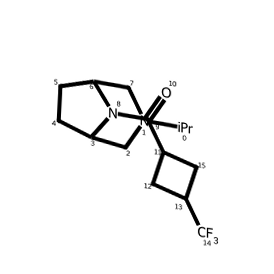 CC(C)N1CC2CCC(C1)N2C(=O)C1CC(C(F)(F)F)C1